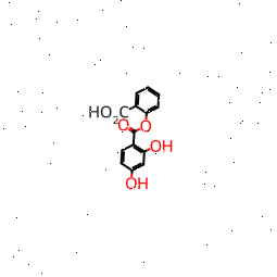 O=C(Oc1ccccc1C(=O)O)c1ccc(O)cc1O